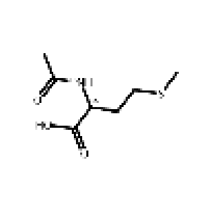 CSCC[C@H]([15NH]C(C)=O)C(=O)O